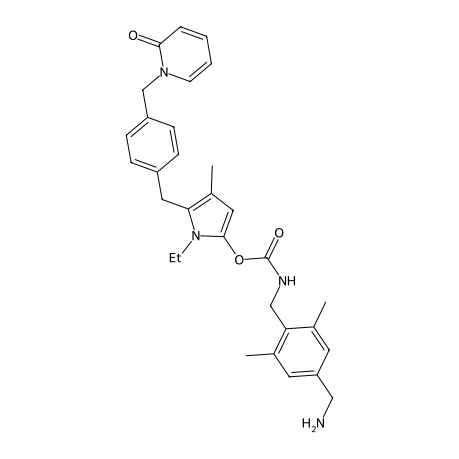 CCn1c(OC(=O)NCc2c(C)cc(CN)cc2C)cc(C)c1Cc1ccc(Cn2ccccc2=O)cc1